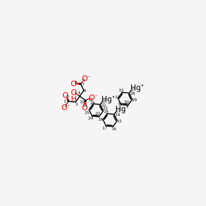 O=C([O-])CC(O)(CC(=O)[O-])C(=O)[O-].[Hg+][c]1ccccc1.[Hg+][c]1ccccc1.[Hg+][c]1ccccc1